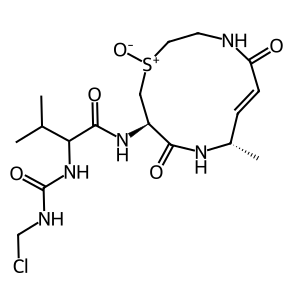 CC(C)C(NC(=O)NCCl)C(=O)N[C@H]1C[S+]([O-])CCNC(=O)/C=C/[C@H](C)NC1=O